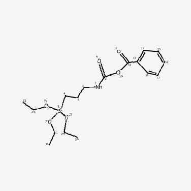 CCO[Si](CCCNC(=O)OC(=O)c1ccccc1)(OCC)OCC